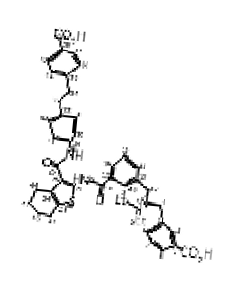 CCC(CC)N(Cc1cccc(C(=O)O)c1)Cc1cccc(C(=O)Nc2sc3c(c2C(=O)Nc2ccc(CCc4ccc(C(=O)O)cc4)cc2)CCCC3)c1